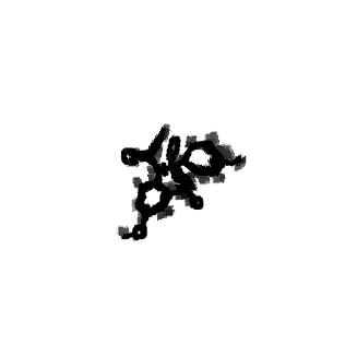 COc1ccc(N(C(C)=O)S(=O)(=O)c2ccc(C)cc2)c([N+](=O)[O-])c1